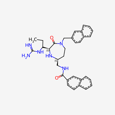 CCC(NC(=N)N)[C@@H]1N[C@H](CNC(=O)c2ccc3ccccc3c2)CCN(Cc2ccc3ccccc3c2)C1=O